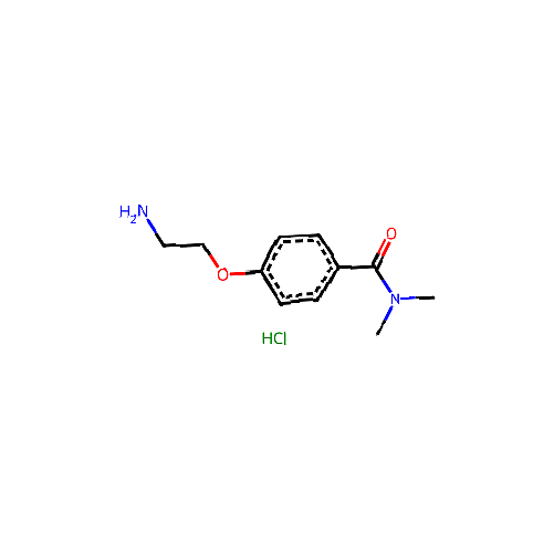 CN(C)C(=O)c1ccc(OCCN)cc1.Cl